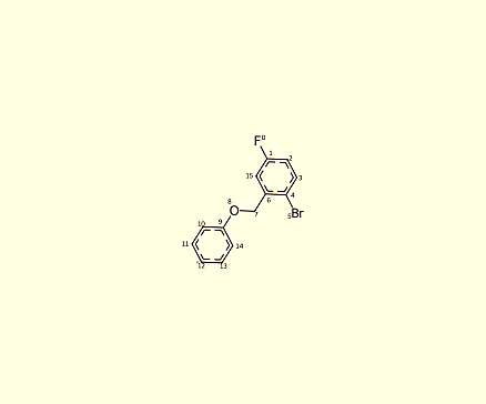 Fc1ccc(Br)c(COc2cc[c]cc2)c1